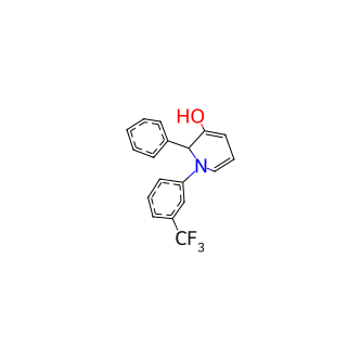 OC1=CC=CN(c2cccc(C(F)(F)F)c2)C1c1ccccc1